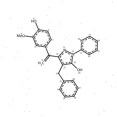 C=C(c1ccc(O)c(OC)c1)c1nn(-c2ccccn2)c(O)c1Cc1ccccc1